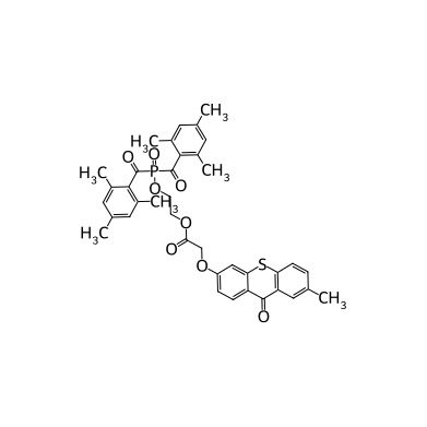 Cc1cc(C)c(C(=O)P(=O)(OCCOC(=O)COc2ccc3c(=O)c4cc(C)ccc4sc3c2)C(=O)c2c(C)cc(C)cc2C)c(C)c1